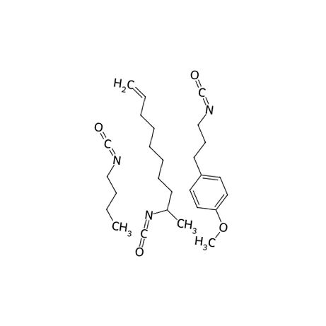 C=CCCCCCCC(C)N=C=O.CCCCN=C=O.COc1ccc(CCCN=C=O)cc1